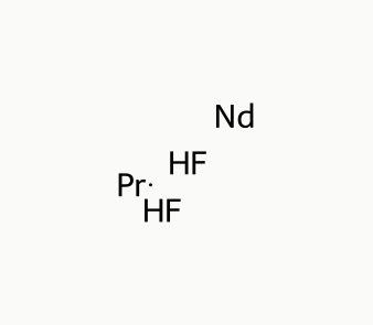 F.F.[Nd].[Pr]